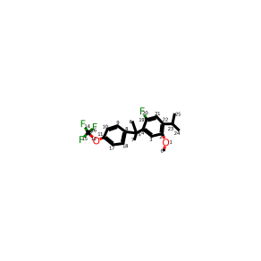 COc1cc(C(C)(C)c2ccc(OC(F)(F)F)cc2)c(F)cc1C(C)C